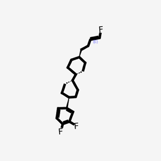 F/C=C/CC[C@H]1CC[C@H]([C@H]2CC[C@H](c3ccc(F)c(F)c3)CC2)CC1